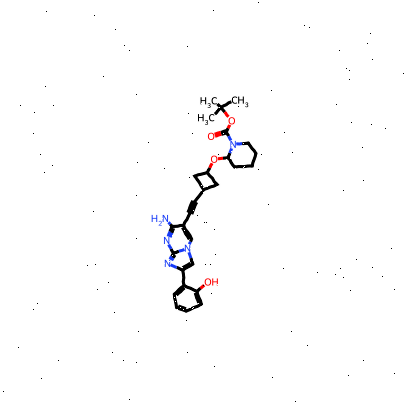 CC(C)(C)OC(=O)N1CCCCC1OC1CC(C#Cc2cn3cc(-c4ccccc4O)nc3nc2N)C1